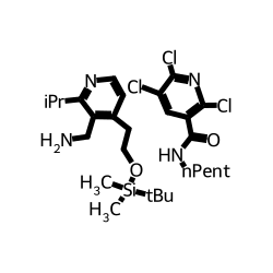 CC(C)c1nccc(CCO[Si](C)(C)C(C)(C)C)c1CN.CCCCCNC(=O)c1cc(Cl)c(Cl)nc1Cl